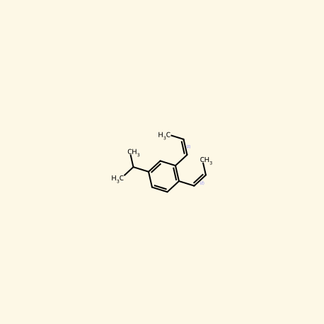 C/C=C\c1ccc(C(C)C)cc1/C=C\C